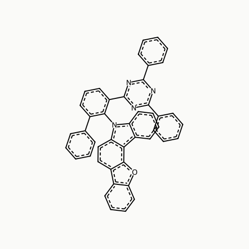 c1ccc(-c2nc(-c3ccccc3)nc(-c3cccc(-c4ccccc4)c3-n3c4ccccc4c4c5oc6ccccc6c5ccc43)n2)cc1